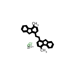 Cc1ccc(CCc2ccc(C)c3c2Cc2ccccc2-3)c2c1-c1ccccc1C2.[Cl-].[Cl-].[Zr+2]